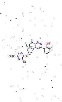 CCc1nc(C=O)cnc1O[C@H]1CN2c3cc(-c4cccc(F)c4O)nnc3NC[C@@]2(CF)C1